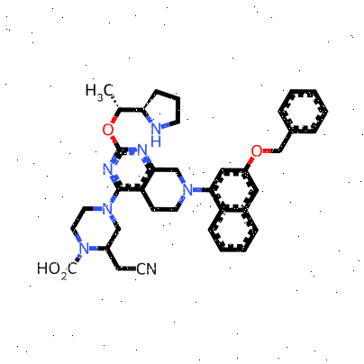 C[C@@H](Oc1nc2c(c(N3CCN(C(=O)O)C(CC#N)C3)n1)CCN(c1cc(OCc3ccccc3)cc3ccccc13)C2)[C@H]1CCCN1